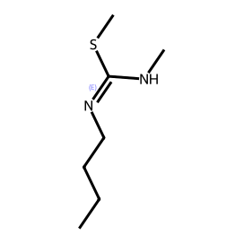 CCCC/N=C(\NC)SC